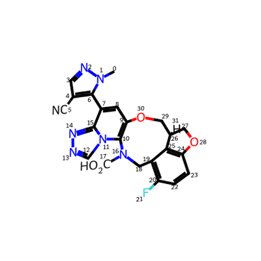 Cn1ncc(C#N)c1-c1cc2c(n3cnnc13)N(C(=O)O)Cc1c(F)ccc3c1[C@@H](CO3)CO2